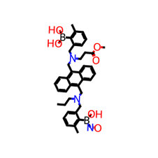 CCCN(Cc1cccc(C)c1B(O)N=O)Cc1c2ccccc2c(CN(CCC(=O)OC)Cc2cccc(C)c2B(O)O)c2ccccc12